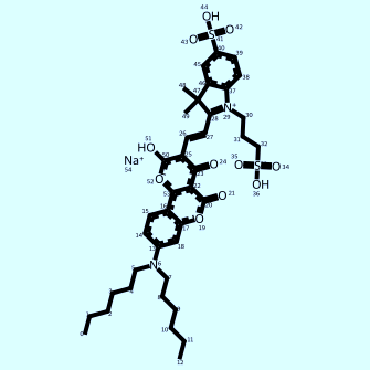 CCCCCCN(CCCCCC)c1ccc2c(c1)oc(=O)c1c(=O)c(C=CC3=[N+](CCCS(=O)(=O)O)c4ccc(S(=O)(=O)O)cc4C3(C)C)c(O)oc12.[Na+]